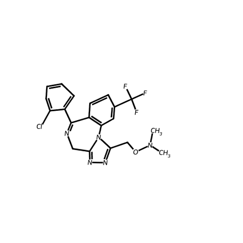 CN(C)OCc1nnc2n1-c1cc(C(F)(F)F)ccc1C(c1ccccc1Cl)=NC2